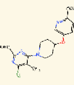 COc1ccc(OC2CCN(c3nc(C=O)nc(Cl)c3C)CC2)cn1